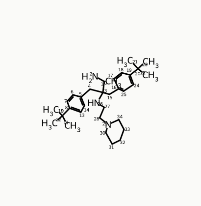 CC(N)C(Cc1ccc(C(C)(C)C)cc1)(Cc1ccc(C(C)(C)C)cc1)NCCN1CCCCC1